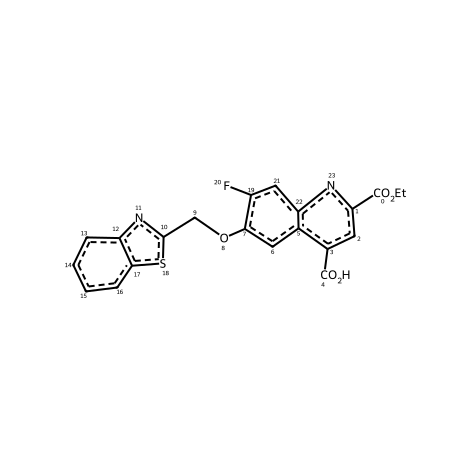 CCOC(=O)c1cc(C(=O)O)c2cc(OCc3nc4ccccc4s3)c(F)cc2n1